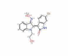 O=C1Nc2cc(Br)ccc2/C1=C1\C(=N\O)c2ccccc2N1CCO.[Li]